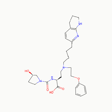 O=C(O)[C@H](CCN(CCCCc1ccc2c(n1)NCCC2)CCOc1ccccc1)NC(=O)N1CC[C@@H](O)C1